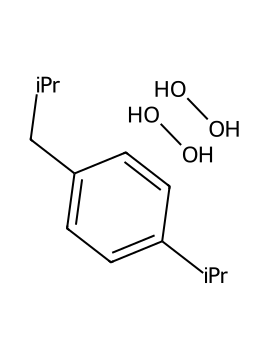 CC(C)Cc1ccc(C(C)C)cc1.OO.OO